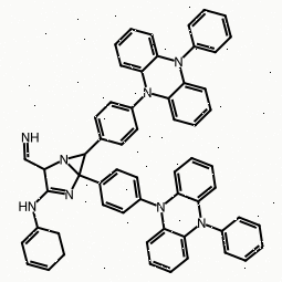 N=CC1C(NC2=CC=CCC2)=NC2(c3ccc(N4c5ccccc5N(c5ccccc5)c5ccccc54)cc3)C(c3ccc(N4c5ccccc5N(c5ccccc5)c5ccccc54)cc3)N12